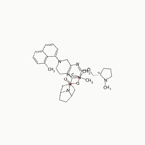 Cc1cccc2cccc(N3CCc4c(nc(OC[C@@H]5CCCN5C)nc4N4CC5CCC(C4)N5C(=O)OC(C)(C)C)C3)c12